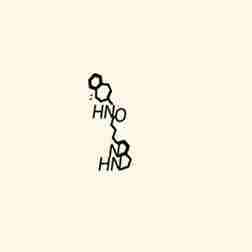 O=C(CCCc1ccc2c(n1)NCCC2)NCC1=CCc2ccccc2[C]C1